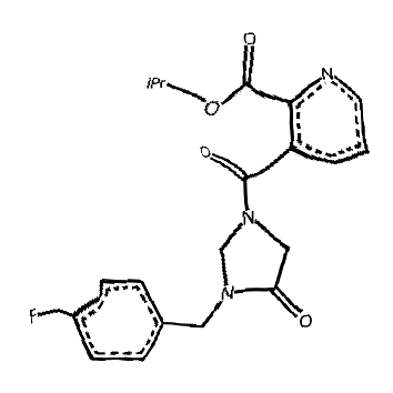 CC(C)OC(=O)c1ncccc1C(=O)N1CC(=O)N(Cc2ccc(F)cc2)C1